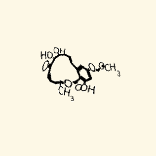 COCOc1cc(O)c2c(c1)/C=C/C[C@H](O)[C@H](O)C(=O)/C=C\C[C@H](C)OC2=O